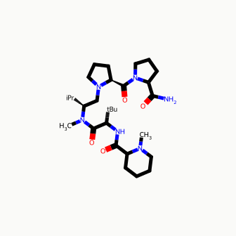 CC(C)[C@@H](CN1CCC[C@H]1C(=O)N1CCCC1C(N)=O)N(C)C(=O)C(NC(=O)C1CCCCN1C)C(C)(C)C